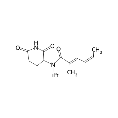 C/C=C\C=C(/C)C(=O)N(C(C)C)C1CCC(=O)NC1=O